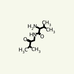 CC(C)C(=O)CNC(=O)C(N)C(C)C